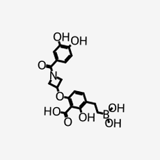 O=C(O)c1c(OC2CN(C(=O)c3ccc(O)c(O)c3)C2)ccc(CCB(O)O)c1O